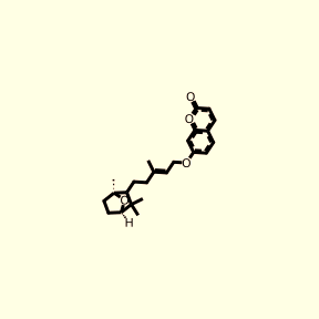 C/C(=C\COc1ccc2ccc(=O)oc2c1)CCC1C(C)(C)[C@H]2CC[C@]1(C)O2